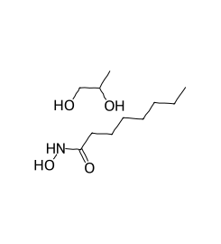 CC(O)CO.CCCCCCCC(=O)NO